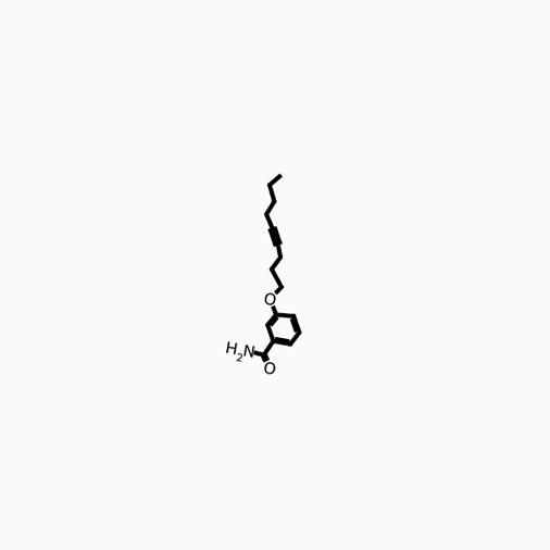 CCCCC#CCCCOc1cccc(C(N)=O)c1